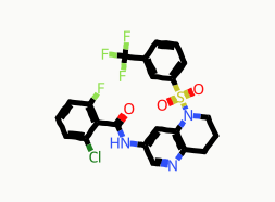 O=C(Nc1cnc2c(c1)N(S(=O)(=O)c1cccc(C(F)(F)F)c1)CCC2)c1c(F)cccc1Cl